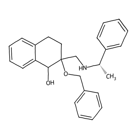 C[C@H](NCC1(OCc2ccccc2)CCc2ccccc2C1O)c1ccccc1